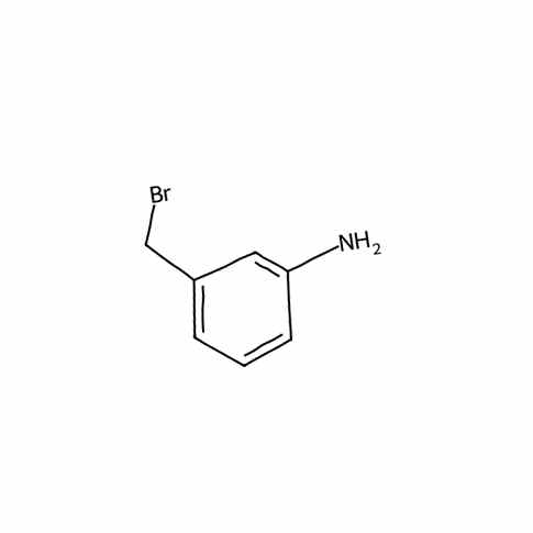 Nc1cccc(CBr)c1